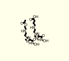 CC(=O)OCCNCCn1cnc(C(=O)NO)n1.O=C(O)CCCNCCn1cnc(C(=O)NO)n1